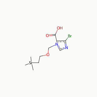 C[Si](C)(C)CCOCn1cnc(Br)c1C(=O)O